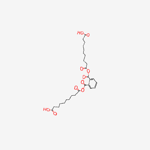 O=C(O)CCCCCCCCC(=O)OC(=O)c1ccccc1C(=O)OC(=O)CCCCCCCCC(=O)O